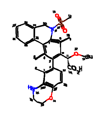 Cc1c(-c2c(C)c3c(c(C)c2[C@H](OC(C)(C)C)C(=O)O)N(S(C)(=O)=O)Cc2ccccc2-3)ccc2c1NCCO2